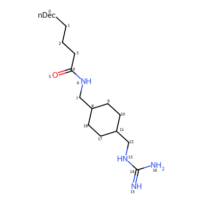 CCCCCCCCCCCCCC(=O)NCC1CCC(CNC(=N)N)CC1